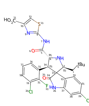 CC(C)(C)C[C@@H]1N[C@@H](C(=O)Nc2nc(C(=O)O)cs2)[C@H](c2cccc(Cl)c2F)C12C(=O)Nc1cc(Cl)ccc12